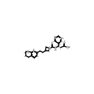 O=C(O)C[C@H](NC(=O)N1CC(CCc2ccc3c(n2)NCCC3)C1)c1cncnc1